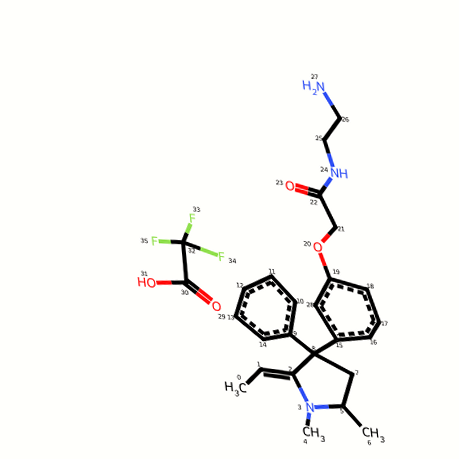 C/C=C1\N(C)C(C)CC1(c1ccccc1)c1cccc(OCC(=O)NCCN)c1.O=C(O)C(F)(F)F